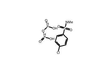 CNS(=O)(=O)c1ccc(Cl)cc1.O=[PH](O)O[PH](=O)O